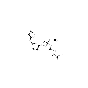 Cc1cc(Nc2ncc(C)c(N3CC(CC#N)(NC(=O)NC(F)C(F)F)C3)n2)sn1